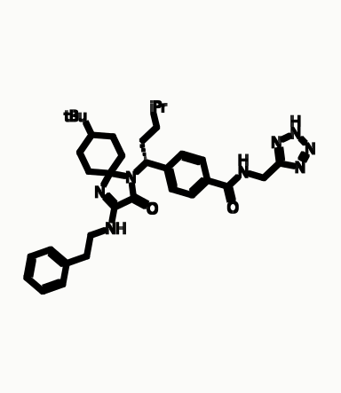 CC(C)CC[C@H](c1ccc(C(=O)NCc2nn[nH]n2)cc1)N1C(=O)C(NCCc2ccccc2)=NC12CCC(C(C)(C)C)CC2